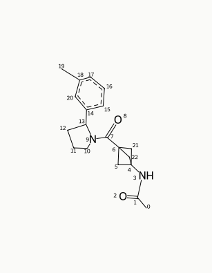 CC(=O)NC12CC(C(=O)N3CCCC3c3cccc(C)c3)(C1)C2